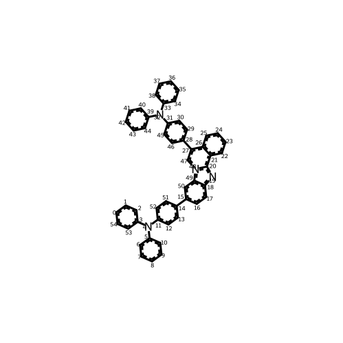 c1ccc(N(c2ccccc2)c2ccc(-c3ccc4nc5c6ccccc6c(-c6ccc(N(c7ccccc7)c7ccccc7)cc6)cn5c4c3)cc2)cc1